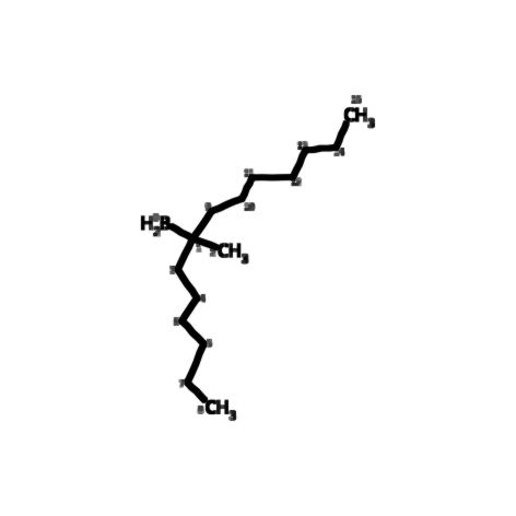 BC(C)(CCCCCC)CCCCCCC